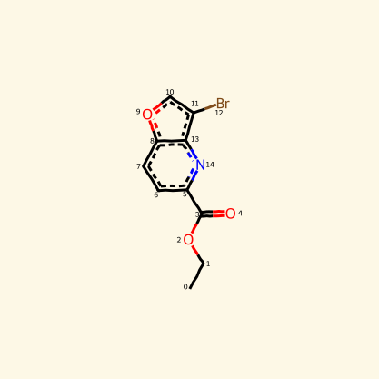 CCOC(=O)c1ccc2occ(Br)c2n1